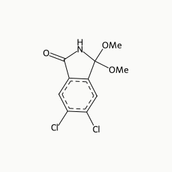 COC1(OC)NC(=O)c2cc(Cl)c(Cl)cc21